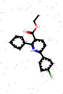 CCOC(=O)c1ccc(-c2ccc(Br)cc2)nc1-c1ccccc1